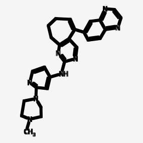 CN1CCN(c2cc(Nc3ncc4c(n3)CCCC=C4c3ccc4nccnc4c3)ccn2)CC1